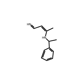 C/C(=C/C=N)NC(C)c1ccccc1